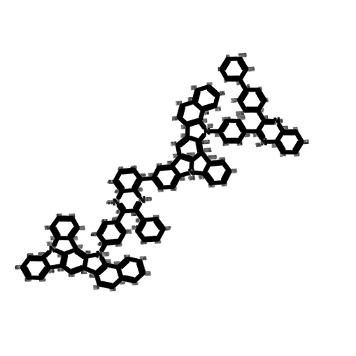 c1ccc(-c2ccc(-c3nc4ccccc4nc3-c3ccc(-n4c5c6ccccc6ccc5c5cc6c7cc(-c8cccc9nc(-c%10ccc(-n%11c%12c%13ccccc%13ccc%12c%12cc%13c%14ccccc%14n%14c%15ccccc%15c(c%12%11)c%13%14)cc%10)c(-c%10ccccc%10)nc89)ccc7n7c8ccccc8c(c54)c67)cc3)cc2)cc1